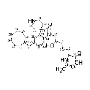 CC(=O)N[C@H](CSCC(O)CN1C(=O)C2(CCNCC2)c2cc(CC3CCCCCCC3)ccc21)C(=O)O